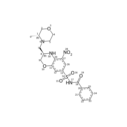 C[C@@H]1COCCN1C[C@@H]1COc2cc(S(=O)(=O)NC(=O)c3ccccc3)cc([N+](=O)[O-])c2N1